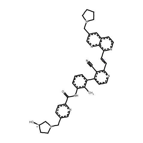 Cc1c(NC(=O)c2ccc(CN3CC[C@@H](O)C3)cn2)cccc1-c1ccnc(/C=C/c2nccc3cc(CN4CCCC4)cnc23)c1C#N